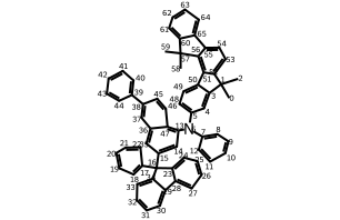 CC1(C)c2cc(N(c3ccccc3)c3cc(C4(c5ccccc5)c5ccccc5-c5ccccc54)cc4cc(-c5ccccc5)ccc34)ccc2-c2c1ccc1c2C(C)(C)c2ccccc2-1